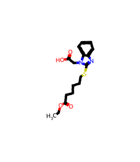 CCOC(=O)CCCCCSc1nc2ccccc2n1CC(=O)O